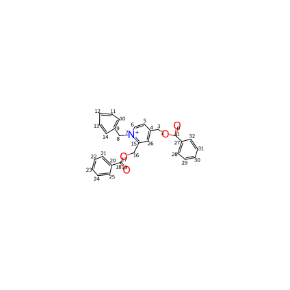 O=C(OCc1cc[n+](Cc2ccccc2)c(COC(=O)c2ccccc2)c1)c1ccccc1